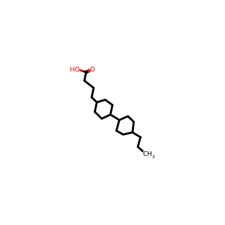 CCCC1CCC(C2CCC(CCCC(=O)O)CC2)CC1